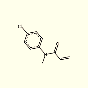 C=CC(=O)N(C)c1ccc(Cl)cc1